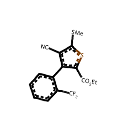 CCOC(=O)c1sc(SC)c(C#N)c1-c1ccccc1C(F)(F)F